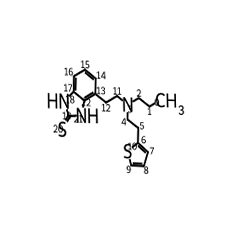 CCCN(CCc1cccs1)CCc1cccc2[nH]c(=S)[nH]c12